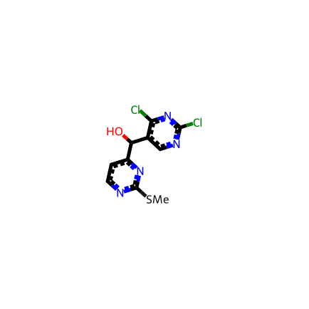 CSc1nccc(C(O)c2cnc(Cl)nc2Cl)n1